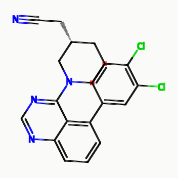 N#CC[C@@H]1CCCN(c2ncnc3cccc(-c4ccc(Cl)c(Cl)c4)c23)C1